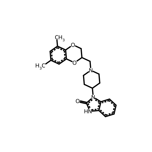 Cc1cc(C)c2c(c1)OC(CN1CCC(n3c(=O)[nH]c4ccccc43)CC1)CO2